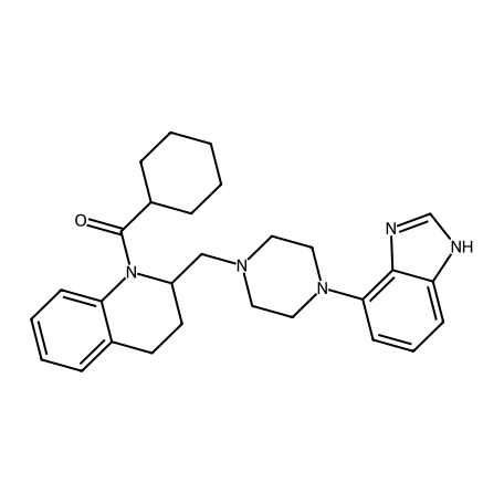 O=C(C1CCCCC1)N1c2ccccc2CCC1CN1CCN(c2cccc3[nH]cnc23)CC1